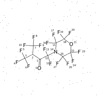 O=C(C(C(F)(F)F)C(F)(F)F)C(F)(F)N1C(F)(F)C(F)(F)OC(F)(F)C1(F)F